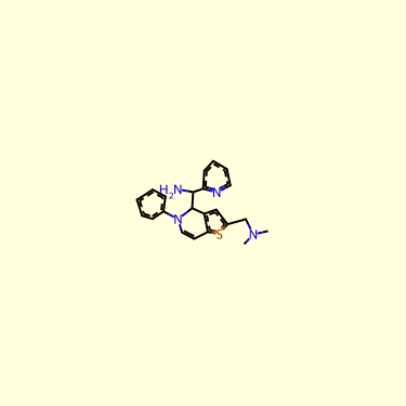 CN(C)Cc1cc2c(s1)C=CN(c1ccccc1)C2C(N)c1ccccn1